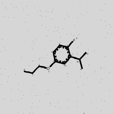 CCCOc1ccc(F)c(C(C)C)c1